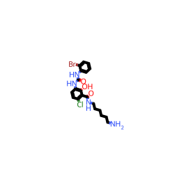 NCCCCCCNC(=O)c1c(Cl)ccc(NC(=O)Nc2ccccc2Br)c1O